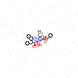 CC(C)CN(CCC(=O)OCc1ccccc1)C(=O)N[C@H](C(=O)O)C(Cc1ccccc1)c1ccc2ccccc2c1